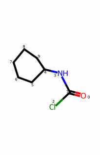 O=C(Cl)NC1CCCCC1